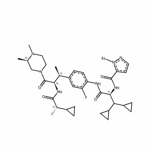 CCn1nccc1C(=O)N[C@H](C(=O)Nc1ccc([C@H](C)[C@@H](NC(=O)[C@@H](C)C2CC2)C(=O)N2CCN(C)[C@H](C)C2)cc1F)C(C1CC1)C1CC1